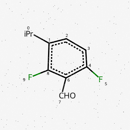 CC(C)c1ccc(F)c(C=O)c1F